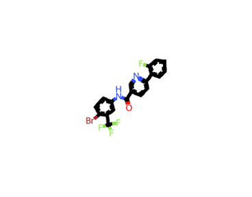 O=C(Nc1ccc(Br)c(C(F)(F)F)c1)c1ccc(-c2ccccc2F)nc1